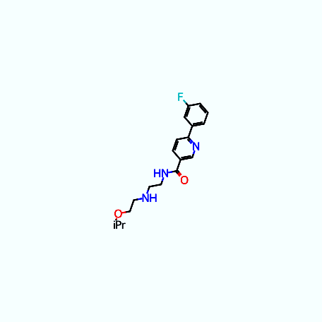 CC(C)OCCNCCNC(=O)c1ccc(-c2cccc(F)c2)nc1